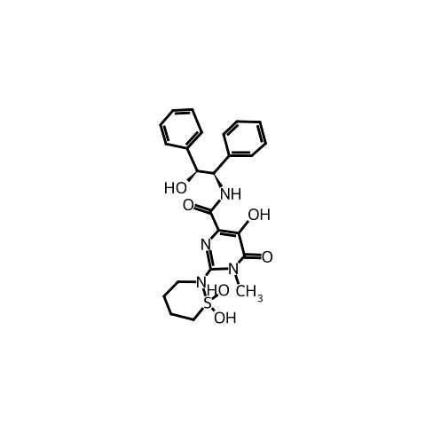 Cn1c(N2CCCCS2(O)O)nc(C(=O)N[C@H](c2ccccc2)[C@@H](O)c2ccccc2)c(O)c1=O